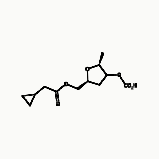 C[C@@H]1O[C@H](COC(=O)CC2CC2)CC1OC(=O)O